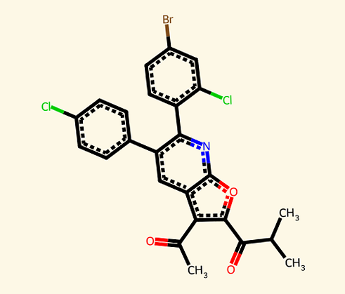 CC(=O)c1c(C(=O)C(C)C)oc2nc(-c3ccc(Br)cc3Cl)c(-c3ccc(Cl)cc3)cc12